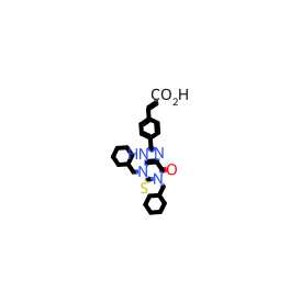 O=C(O)/C=C/c1ccc(-c2nc3c(=O)n(CC4CCCCC4)c(=S)n(CC4CCCCC4)c3[nH]2)cc1